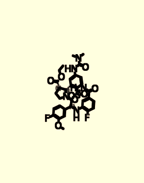 CCOC(=O)[C@H]1CCN(C(=O)[C@@H](Nc2cc(C(N)=O)ccc2F)c2ccc(F)c(OC)c2)[C@H]1c1cc(NC(=O)N(C)C)ccc1S(C)(=O)=O